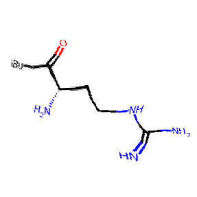 CCC(C)C(=O)[C@@H](N)CCNC(=N)N